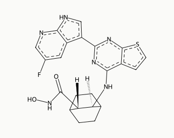 O=C(NO)[C@H]1C2CCC(CC2)[C@@H]1Nc1nc(-c2c[nH]c3ncc(F)cc23)nc2sccc12